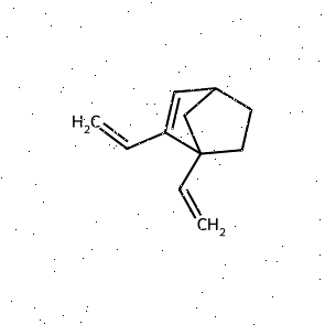 C=CC1=CC2CCC1(C=C)C2